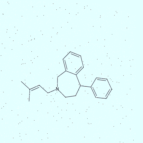 CC(C)=CCN1CCC(c2ccccc2)c2ccccc2C1